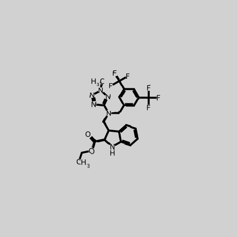 CCOC(=O)C1Nc2ccccc2C1CN(Cc1cc(C(F)(F)F)cc(C(F)(F)F)c1)c1nnn(C)n1